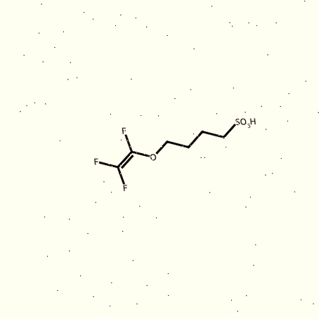 O=S(=O)(O)CCCCOC(F)=C(F)F